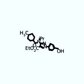 CCOC(=O)c1cn(-c2ccc(CO)cc2)nc1N(C(=O)C1CCC(C)CC1)C(C)C